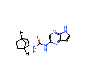 O=C(Nc1cnc2[nH]ccc2n1)N[C@H]1C[C@H]2CC[C@@H]1C2